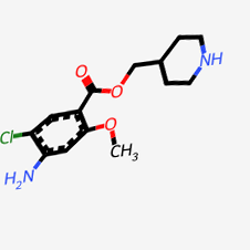 COc1cc(N)c(Cl)cc1C(=O)OCC1CCNCC1